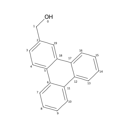 OCc1ccc2c3ccccc3c3ccccc3c2c1